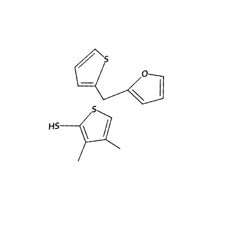 Cc1csc(S)c1C.c1coc(Cc2cccs2)c1